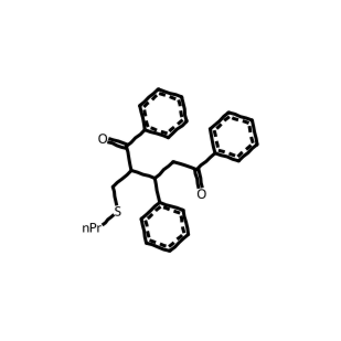 CCCSCC(C(=O)c1ccccc1)C(CC(=O)c1ccccc1)c1ccccc1